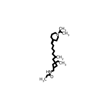 C=C(CCCC/C=C1/CCCN(C(C)C)CC1)CC1(CC)CC(CNC(=O)CC)C1